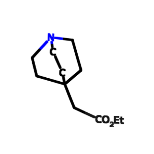 CCOC(=O)CC12CCN(CC1)CC2